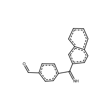 N=C(c1ccc(C=O)cc1)c1ccc2ccccc2c1